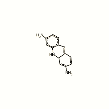 NC1=CC2Nc3cc(N)ccc3C=C2C=C1